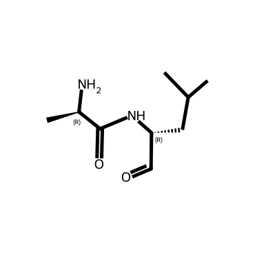 CC(C)C[C@H](C=O)NC(=O)[C@@H](C)N